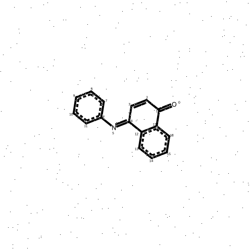 O=C1C=CC(=Nc2ccccc2)c2ccccc21